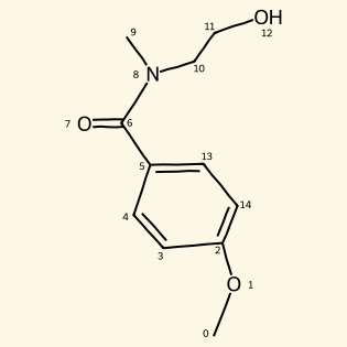 COc1ccc(C(=O)N(C)CCO)cc1